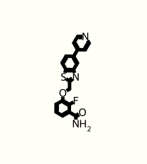 NC(=O)c1cccc(OCc2nc3cc(-c4ccncc4)ccc3s2)c1F